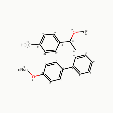 CCCCCCCCCOc1ccc(-c2ccccc2)cc1.CCCOC(C)c1ccc(C(=O)O)cc1